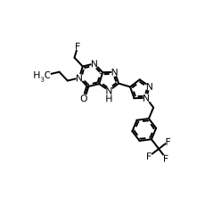 CCCn1c(CF)nc2nc(-c3cnn(Cc4cccc(C(F)(F)F)c4)c3)[nH]c2c1=O